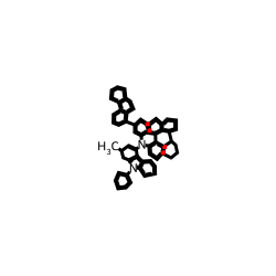 CC1C=C(N(c2cccc(-c3cccc4c3ccc3ccccc34)c2)c2ccccc2-c2cccc3cccc(C4CCCCC4)c23)c2c(n(-c3ccccc3)c3ccccc23)C1